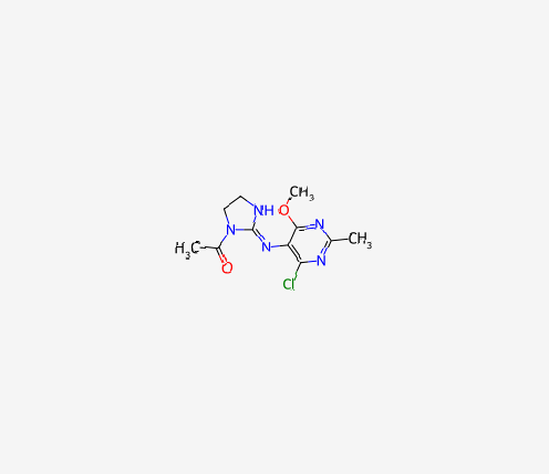 COc1nc(C)nc(Cl)c1N=C1NCCN1C(C)=O